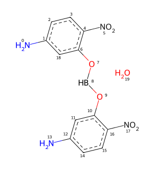 Nc1ccc([N+](=O)[O-])c(OBOc2cc(N)ccc2[N+](=O)[O-])c1.O